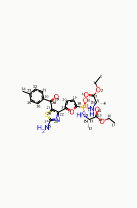 CCOC(=O)[C@H](C)NP(=O)(N[C@@H](C)C(=O)OCC)c1ccc(-c2nc(N)sc2C(=O)c2ccc(C)cc2)o1